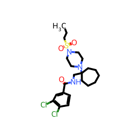 CCCS(=O)(=O)N1CCN(C2(CNC(=O)c3ccc(Cl)c(Cl)c3)CCCCCC2)CC1